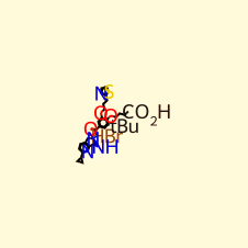 Br.CC(C)(C)c1cc(C(=O)CN2Cc3ccc(C4CC4)nc3C2=N)cc(OCCCc2nccs2)c1OCCCC(=O)O